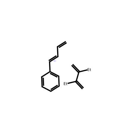 C=C(CC)C(=C)CC.C=C/C=C/c1ccccc1